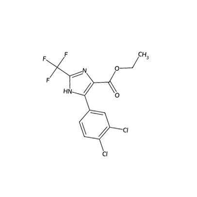 CCOC(=O)c1nc(C(F)(F)F)[nH]c1-c1ccc(Cl)c(Cl)c1